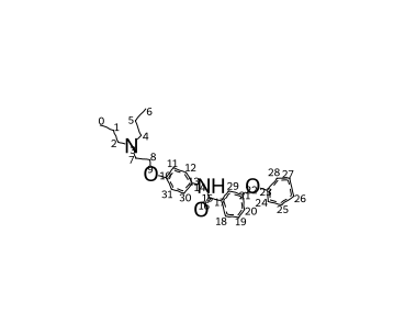 CCCN(CCC)CCOc1ccc(NC(=O)c2cccc(Oc3ccccc3)c2)cc1